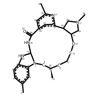 Cc1ccc2c(c1)N1C[C@H](C)CCCOC3CN(C)CC3c3cc(cc(C)n3)C(=O)NC1N2